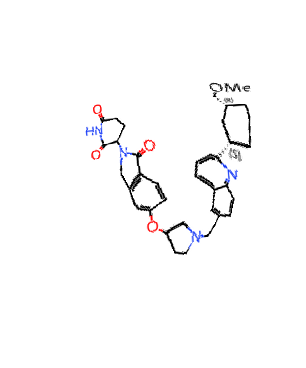 COC[C@@H]1CCC[C@H](c2ccc3cc(CN4CCC(Oc5ccc6c(c5)CN(C5CCC(=O)NC5=O)C6=O)C4)ccc3n2)C1